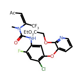 CCOC(=O)COc1ncccc1Oc1cc(NC(=O)N(C)/C(=C\C(C)=O)C(F)(F)F)c(F)cc1Cl